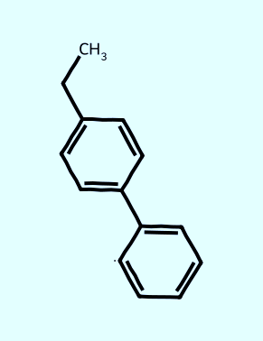 CCc1ccc(-c2[c]cccc2)cc1